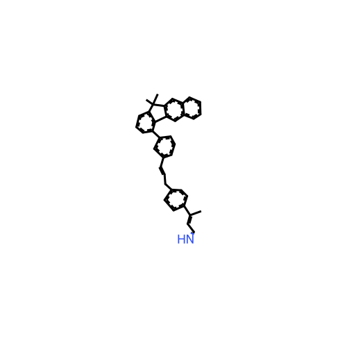 C/C(=C\C=N)c1ccc(C/C=C/c2cccc(-c3cccc4c3-c3cc5ccccc5cc3C4(C)C)c2)cc1